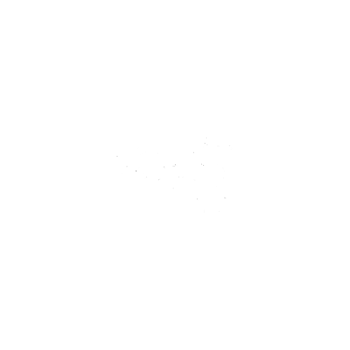 Cc1ccc2cc(NC(=O)C(c3ccccc3)n3cnc4cccnc43)ccc2n1